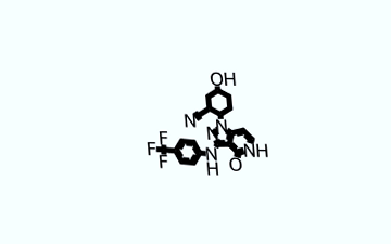 N#CC1CC(O)CCC1n1nc(Nc2ccc(C(F)(F)F)cc2)c2c(=O)[nH]ccc21